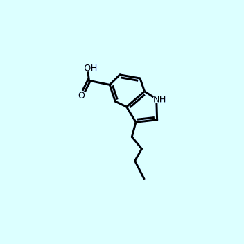 CCCCc1c[nH]c2ccc(C(=O)O)cc12